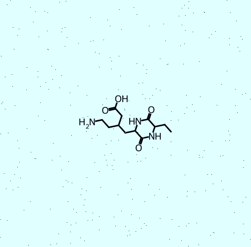 CCC1NC(=O)C(CC(CCN)CC(=O)O)NC1=O